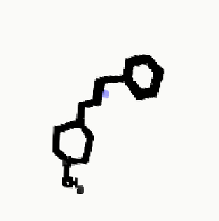 CN1CCN(C/C=C/c2ccccc2)CC1